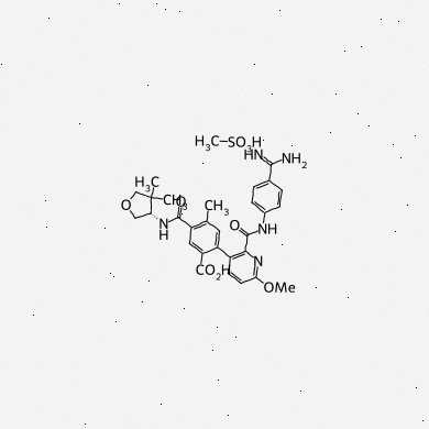 COc1ccc(-c2cc(C)c(C(=O)N[C@@H]3COCC3(C)C)cc2C(=O)O)c(C(=O)Nc2ccc(C(=N)N)cc2)n1.CS(=O)(=O)O